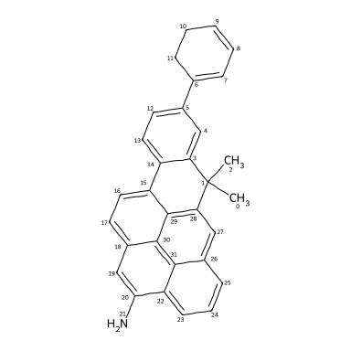 CC1(C)c2cc(C3=CC=CCC3)ccc2-c2ccc3cc(N)c4cccc5cc1c2c3c54